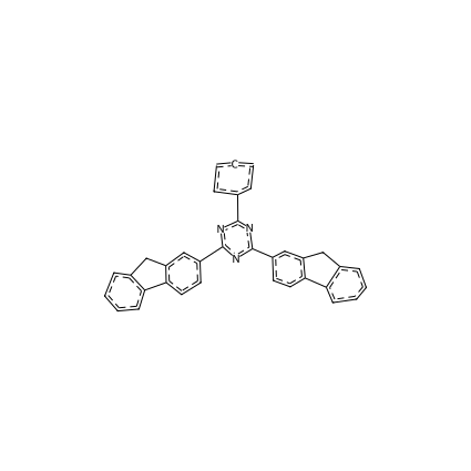 c1ccc(-c2nc(-c3ccc4c(c3)Cc3ccccc3-4)nc(-c3ccc4c(c3)Cc3ccccc3-4)n2)cc1